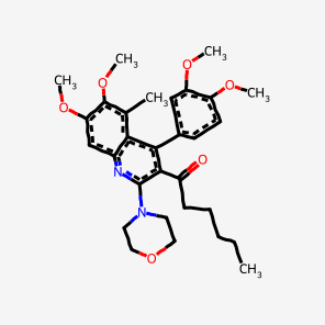 CCCCCC(=O)c1c(N2CCOCC2)nc2cc(OC)c(OC)c(C)c2c1-c1ccc(OC)c(OC)c1